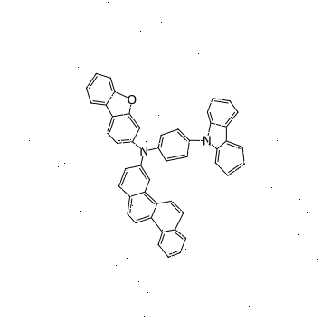 c1ccc2c(c1)ccc1c3cc(N(c4ccc(-n5c6ccccc6c6ccccc65)cc4)c4ccc5c(c4)oc4ccccc45)ccc3ccc21